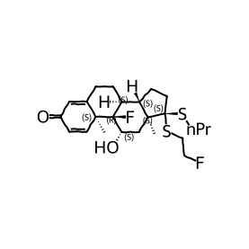 CCCS[C@]1(SCCF)CC[C@H]2[C@@H]3CCC4=CC(=O)C=C[C@]4(C)[C@@]3(F)[C@@H](O)C[C@@]21C